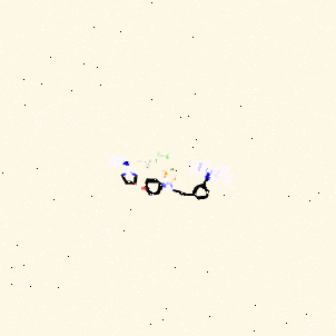 CCOC(=O)CS(=O)(=O)N(C/C=C/c1cccc(C(=N)N)c1)c1ccc(OC2CCN(C(C)=N)C2)cc1.Cl.Cl